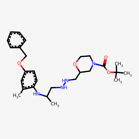 Cc1cc(OCc2ccccc2)ccc1NC(C)CNNCC1CN(C(=O)OC(C)(C)C)CCO1